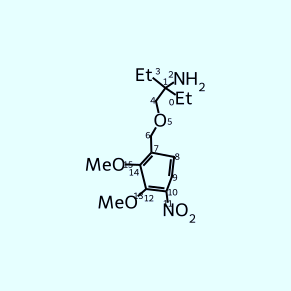 CCC(N)(CC)COCc1ccc([N+](=O)[O-])c(OC)c1OC